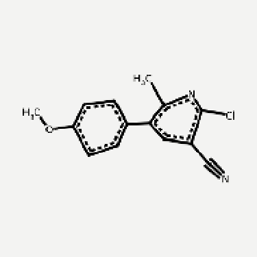 COc1ccc(-c2cc(C#N)c(Cl)nc2C)cc1